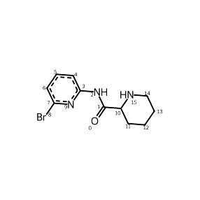 O=C(Nc1cccc(Br)n1)C1CCCCN1